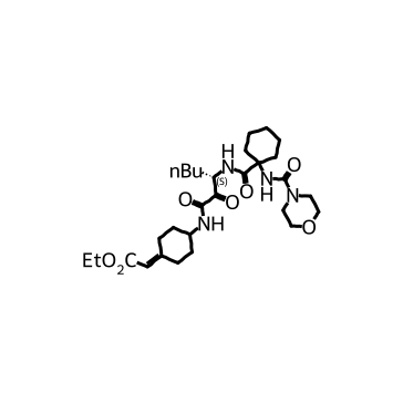 CCCC[C@H](NC(=O)C1(NC(=O)N2CCOCC2)CCCCC1)C(=O)C(=O)NC1CCC(=CC(=O)OCC)CC1